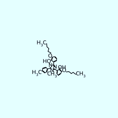 CCCCCCOc1cccc(-c2nc(-c3ccc(C)cc3C)nc(-c3cccc(OCCCCCC)c3O)n2)c1O